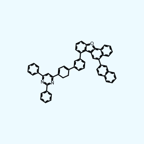 C1=C(c2cccc(-c3cccc4oc5c6ccccc6c(-c6ccc7ccccc7c6)cc5c34)c2)CCC(c2cc(-c3ccccc3)nc(-c3ccccc3)n2)=C1